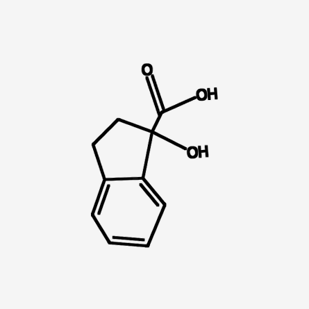 O=C(O)C1(O)CCc2ccccc21